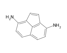 Nc1ccc2ccc(N)c3c2c1C=C3